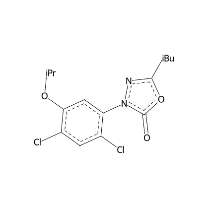 CCC(C)c1nn(-c2cc(OC(C)C)c(Cl)cc2Cl)c(=O)o1